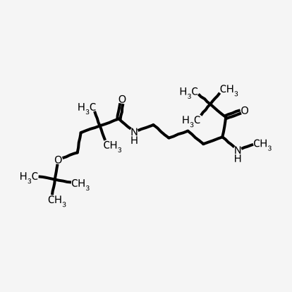 CNC(CCCCNC(=O)C(C)(C)CCOC(C)(C)C)C(=O)C(C)(C)C